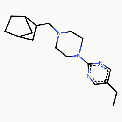 CCc1cnc(N2CCN(CC3CC4CCC3C4)CC2)nc1